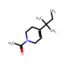 CCC(C)(C)C1=CCN(C(C)=O)CC1